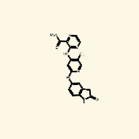 CNC(=O)c1nccnc1Nc1cc(Nc2ccc3c(c2)CC(=O)N3)ncc1C(F)(F)F